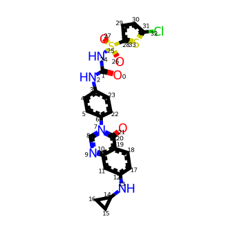 O=C(Nc1ccc(-n2cnc3cc(NC4CC4)ccc3c2=O)cc1)NS(=O)(=O)c1ccc(Cl)s1